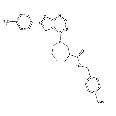 CSc1ccc(CNC(=O)C2CCCCN(c3ncnc4nn(-c5ccc(C(F)(F)F)cc5)cc34)C2)cc1